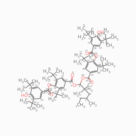 CCC(C)CC(C)(C)C(OC(=O)c1cc(C(C)(C)C)c(OC(=O)c2cc(C(C)(C)C)c(O)c(C(C)(C)C)c2)c(C(C)(C)C)c1)OC(=O)c1cc(C(C)(C)C)c(OC(=O)c2cc(C(C)(C)C)c(O)c(C(C)(C)C)c2)c(C(C)(C)C)c1